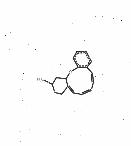 CC1CCC2=CC=NC=Cc3ccccc3OC2C1